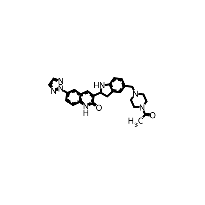 CC(=O)N1CCN(Cc2ccc3c(c2)CC(c2cc4cc(-n5nccn5)ccc4[nH]c2=O)N3)CC1